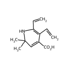 C=CC1=C(C=C)C(C(=O)O)=CC(C)(C)N1